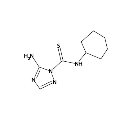 Nc1ncnn1C(=S)NC1CCCCC1